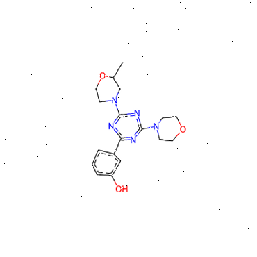 CC1CN(c2nc(-c3cccc(O)c3)nc(N3CCOCC3)n2)CCO1